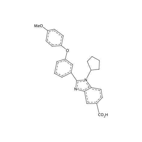 COc1ccc(Oc2cccc(-c3nc4cc(C(=O)O)ccc4n3C3CCCC3)c2)cc1